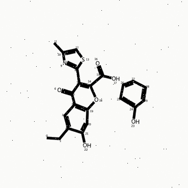 CCc1cc2c(=O)c(-c3nc(C)cs3)c(C(=O)O)oc2cc1O.Oc1ccccc1